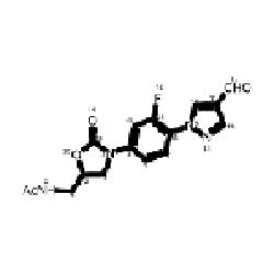 CC(=O)NCC1CN(c2ccc(-n3cc(C=O)cn3)c(F)c2)C(=O)O1